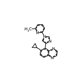 Cc1cccc(-n2cnc(-c3c(C4CC4)ccc4nccnc34)c2)n1